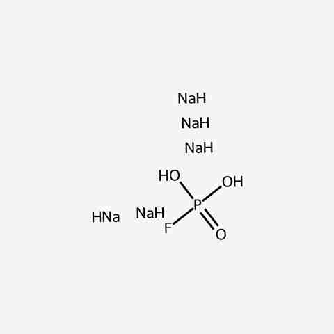 O=P(O)(O)F.[NaH].[NaH].[NaH].[NaH].[NaH]